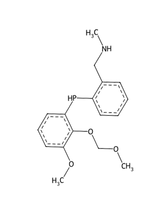 CNCc1ccccc1Pc1cccc(OC)c1OCOC